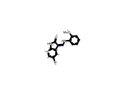 COc1ccccc1N/C=C1\C(=O)Nc2ncc(Br)cc21